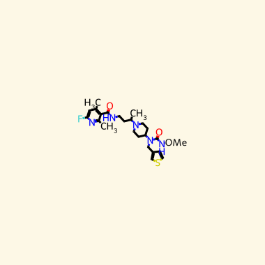 CONC(=O)N(Cc1ccsc1)C1CCN(C(C)CCNC(=O)c2c(C)cc(F)nc2C)CC1